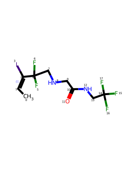 C/C=C(/I)C(F)(F)CNCC(=O)NCC(F)(F)F